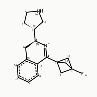 FC12CC(C3=N[C@H]([C@@H]4CCNC4)Cc4ccccc43)(C1)C2